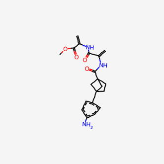 C=C(NC(=O)C12CCC(c3ccc(N)cc3)(C1)C2)C(=O)NC(=C)C(=O)OC